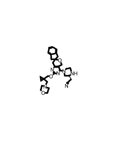 N#CC[C@H]1CN(c2nc(OCC3(CN4CCOCC4)CC3)nc3c2COC2(Cc4ccccc4C2)C3)CCN1